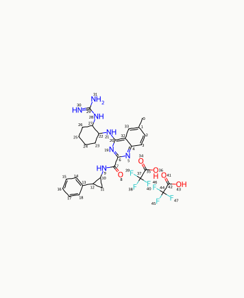 Cc1ccc2nc(C(=O)NC3CC3c3ccccc3)nc(NC3CCCCC3NC(=N)N)c2c1.O=C(O)C(F)(F)F.O=C(O)C(F)(F)F